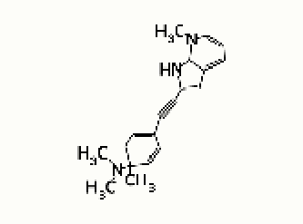 CN1C=CC=C2C=C(C#CC3=CCC(C)(N(C)C)C=C3)NC21